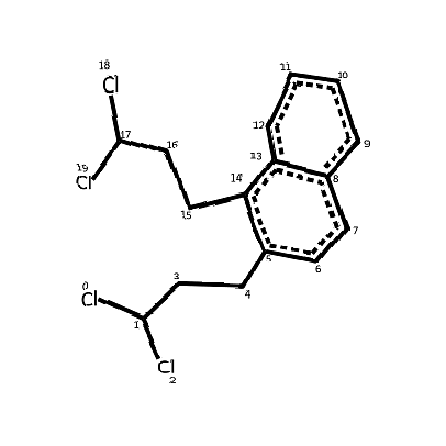 ClC(Cl)CCc1ccc2ccccc2c1CCC(Cl)Cl